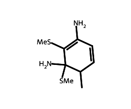 CSC1=C(N)C=CC(C)C1(N)SC